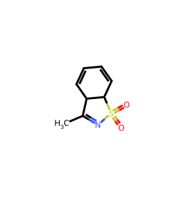 CC1=NS(=O)(=O)C2C=CC=CC12